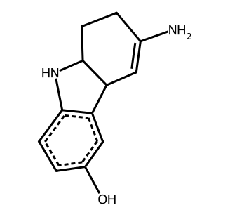 NC1=CC2c3cc(O)ccc3NC2CC1